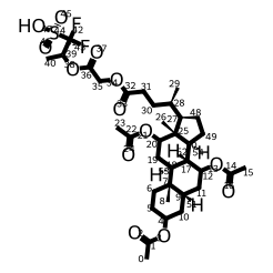 CC(=O)OC1CC[C@@]2(C)[C@@H](C1)CC(OC(C)=O)[C@@H]1[C@@H]2CC(OC(C)=O)[C@]2(C)[C@@H]([C@H](C)CCC(=O)OCC(=O)OC(C)C(F)(F)S(=O)(=O)O)CC[C@@H]12